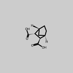 O=C(O)[C@@H]1[C@@H]2CC[C@H](C2)[C@H]1C(=O)O